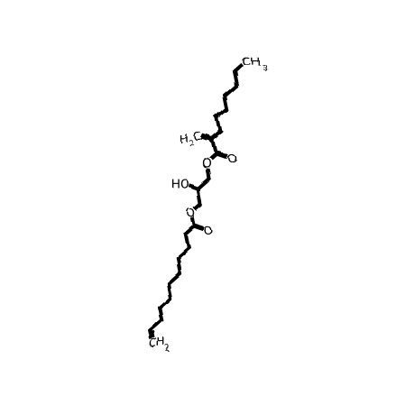 C=CCCCCCCCCC(=O)OCC(O)COC(=O)C(=C)CCCCCCC